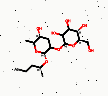 CC(=O)CC[C@@H](C)O[C@@H]1OC(C)[C@H](O)CC1O[C@@H]1O[C@H](CO)[C@@H](O)C(O)C1O